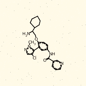 Cn1ncc(Cl)c1-c1cc(NC(=O)c2cccnc2)ccc1OCC(N)C1CCCCC1